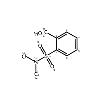 O=C(O)c1ccccc1S(=O)(=O)N(Cl)Cl